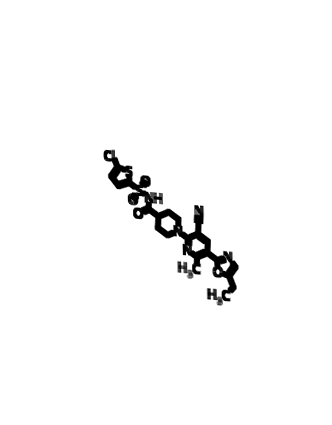 CCc1cnc(-c2cc(C#N)c(N3CCC(C(=O)NS(=O)(=O)c4ccc(Cl)s4)CC3)nc2C)o1